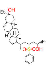 CC[C@]1(O)CC[C@H]2C(=CC[C@@H]3C2CC[C@]2(C)[C@@H]([C@H](C)CC(C[C@H](O)C(C)C)S(=O)(=O)c4ccccc4)CC[C@@H]32)C1